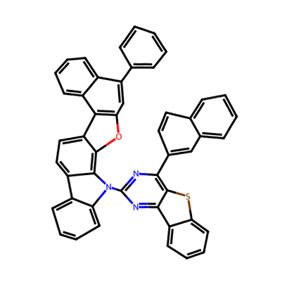 c1ccc(-c2cc3oc4c(ccc5c6ccccc6n(-c6nc(-c7ccc8ccccc8c7)c7sc8ccccc8c7n6)c54)c3c3ccccc23)cc1